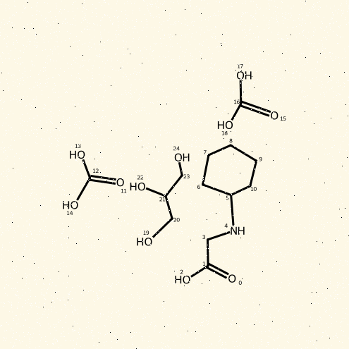 O=C(O)CNC1CCCCC1.O=C(O)O.O=C(O)O.OCC(O)CO